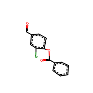 O=Cc1ccc(OC(=O)c2ccccc2)c(Br)c1